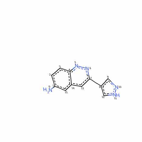 Nc1ccc2nnc(-c3cn[nH]c3)cc2c1